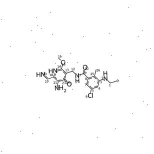 CCNc1cc(Cl)cc(C(=O)NCc2c(OC)[nH]c(C=N)c(N)c2=O)c1C